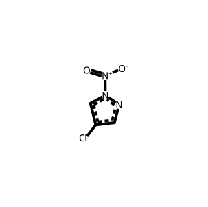 O=[N+]([O-])n1cc(Cl)cn1